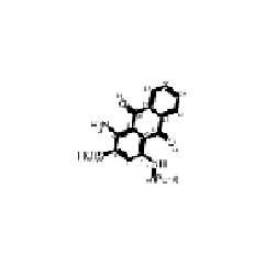 CCCCCNc1cc(S(=O)(=O)O)c(N)c2c1C(=O)c1ccccc1C2=O